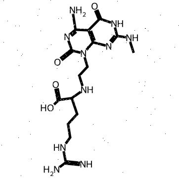 CNc1nc2c(c(N)nc(=O)n2CCNC(CCCNC(=N)N)C(=O)O)c(=O)[nH]1